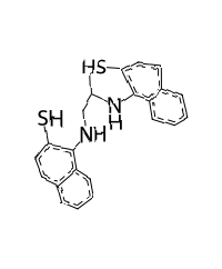 CC(CNc1c(S)ccc2ccccc12)Nc1c(S)ccc2ccccc12